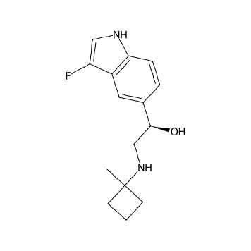 CC1(NC[C@H](O)c2ccc3[nH]cc(F)c3c2)CCC1